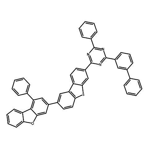 c1ccc(-c2cccc(-c3nc(-c4ccccc4)nc(-c4ccc5c(c4)sc4ccc(-c6cc(-c7ccccc7)c7c(c6)oc6ccccc67)cc45)n3)c2)cc1